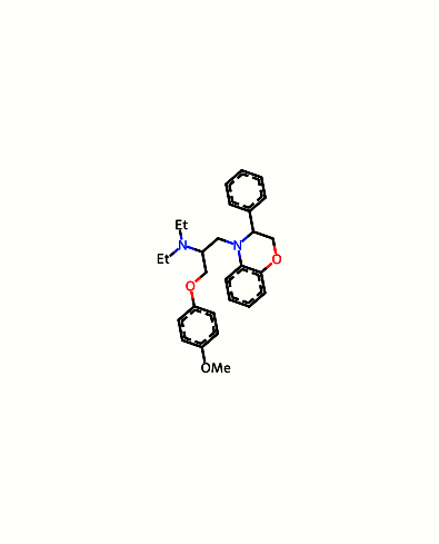 CCN(CC)C(COc1ccc(OC)cc1)CN1c2ccccc2OCC1c1ccccc1